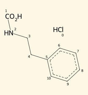 Cl.O=C(O)NCCc1ccccc1